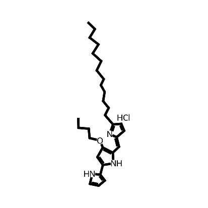 CCCCCCCCCCCCCC1=NC(=Cc2[nH]c(-c3ccc[nH]3)cc2OCCCC)C=C1.Cl